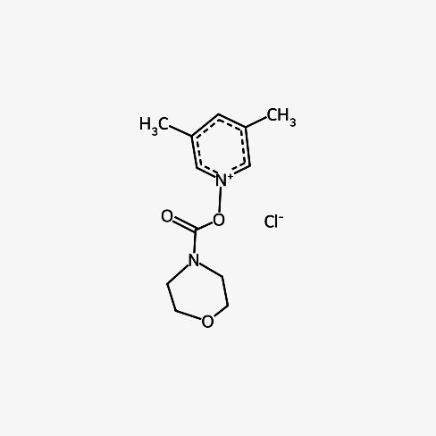 Cc1cc(C)c[n+](OC(=O)N2CCOCC2)c1.[Cl-]